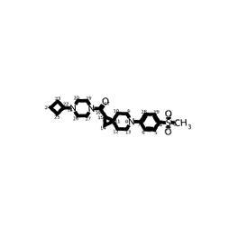 CS(=O)(=O)c1ccc(N2CCC3(CC2)CC3C(=O)N2CCN(C3CCC3)CC2)cc1